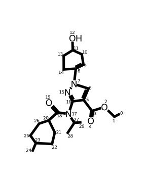 CCOC(=O)c1cn(C2=CCC(O)CC2)nc1N(C(=O)C1CCC(C)CC1)C(C)C